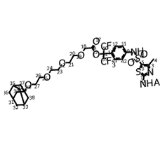 CC(=O)Nc1nc(C)c(S(=O)(=O)Nc2ccc(C(OC(=O)COCCOCCOCCOC34CC5CC(CC(C5)C3)C4)(C(F)(F)F)C(F)(F)F)cc2)s1